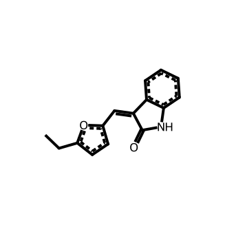 CCc1ccc(C=C2C(=O)Nc3ccccc32)o1